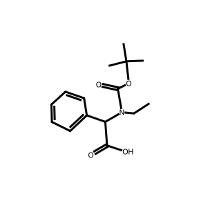 CCN(C(=O)OC(C)(C)C)C(C(=O)O)c1ccccc1